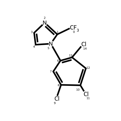 FC(F)(F)c1nccn1-c1cc(Cl)c(Cl)cc1Cl